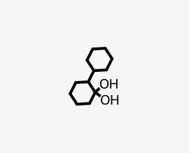 OC1(O)CCCCC1C1CCCCC1